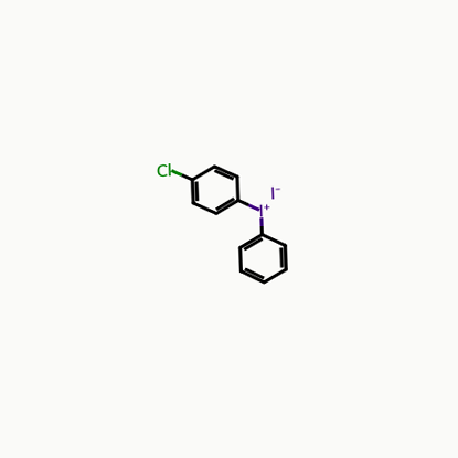 Clc1ccc([I+]c2ccccc2)cc1.[I-]